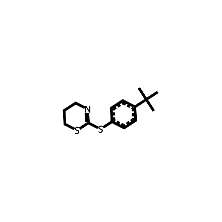 CC(C)(C)c1ccc(SC2=NCCCS2)cc1